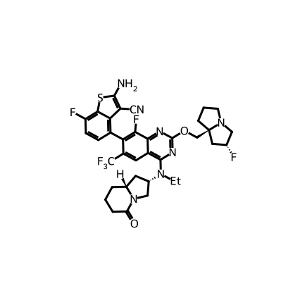 CCN(c1nc(OC[C@@]23CCCN2C[C@H](F)C3)nc2c(F)c(-c3ccc(F)c4sc(N)c(C#N)c34)c(C(F)(F)F)cc12)[C@H]1C[C@H]2CCCC(=O)N2C1